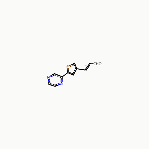 O=C/C=C/c1csc(-c2cnccn2)c1